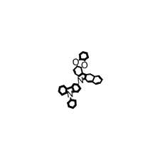 C1=CC2=Cc3c(c4c(n3-c3ccc5c(c3)c3ccccc3n5-c3ccccc3)C=CC3Oc5ccccc5OC43)CC2C=C1